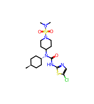 CN(C)S(=O)(=O)N1CCC(N(C(=O)Nc2ncc(Cl)s2)[C@H]2CC[C@H](C)CC2)CC1